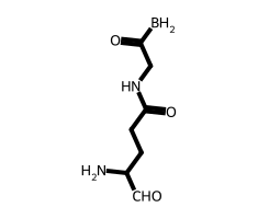 BC(=O)CNC(=O)CCC(N)C=O